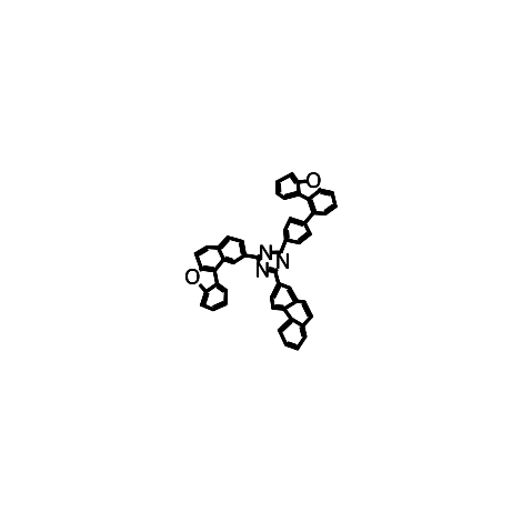 c1ccc2c(c1)ccc1cc(-c3nc(-c4ccc(-c5cccc6oc7ccccc7c56)cc4)nc(-c4ccc5ccc6oc7ccccc7c6c5c4)n3)ccc12